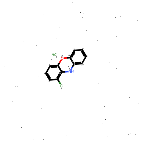 Cl.Clc1cccc2c1Nc1ccccc1O2